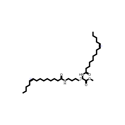 CCCC/C=C\CCCCCCCC(=O)NCCCC[C@H](NC(=O)CCCCCCC/C=C\CCCC)C(=O)OC